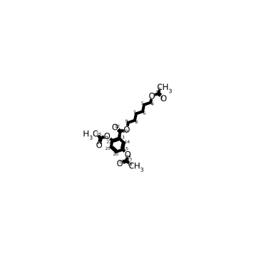 CC(=O)OCCCCCCOC(=O)c1cc(OC(C)=O)ccc1OC(C)=O